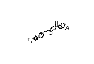 N#Cc1ccc(NC2CCN(C(=O)CCCN3CCCN(c4ccc(C(F)(F)F)cc4)CC3)CC2)cc1C(F)(F)F